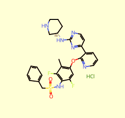 Cc1c(Oc2ncccc2-c2ccnc(N[C@H]3CCCNC3)n2)cc(F)c(NS(=O)(=O)Cc2ccccc2)c1F.Cl